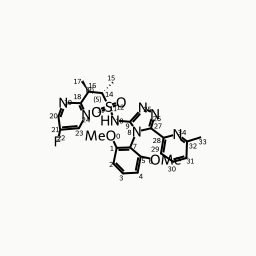 COc1cccc(OC)c1-n1c(NS(=O)(=O)[C@@H](C)[C@H](C)c2ncc(F)cn2)nnc1-c1cccc(C)n1